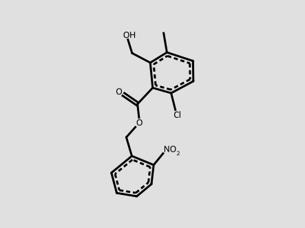 Cc1ccc(Cl)c(C(=O)OCc2ccccc2[N+](=O)[O-])c1CO